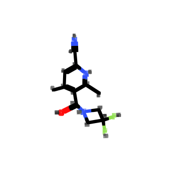 Cc1cc(C#N)nc(C)c1C(=O)N1CC(F)(F)C1